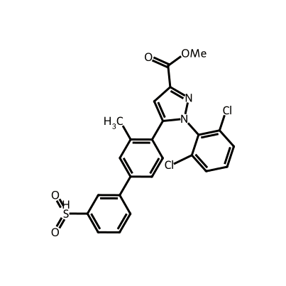 COC(=O)c1cc(-c2ccc(-c3cccc([SH](=O)=O)c3)cc2C)n(-c2c(Cl)cccc2Cl)n1